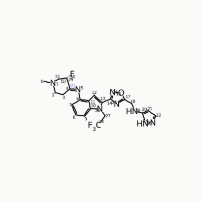 CN1CC/C(=N\c2cccc3c2cc(-c2noc(CNc4ccn[nH]4)n2)n3CC(F)(F)F)[C@@H](F)C1